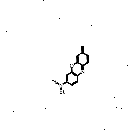 C=c1ccc2c(c1)Oc1cc(N(CC)CC)ccc1N=2